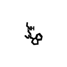 CCNCCN(CC)C1CCCc2ccccc21